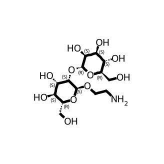 NCCO[C@H]1O[C@H](CO)[C@@H](O)[C@H](O)[C@@H]1O[C@H]1O[C@H](CO)[C@@H](O)[C@H](O)[C@@H]1O